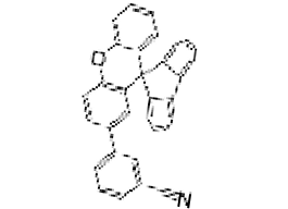 N#Cc1cccc(-c2ccc3c(c2)C2(c4ccccc4O3)c3ccccc3-c3ccccc32)c1